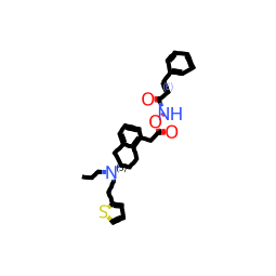 CCCN(CCc1cccs1)[C@H]1CCc2c(CC(=O)ONC(=O)/C=C/c3ccccc3)cccc2C1